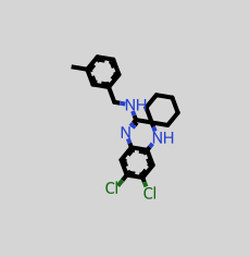 Cc1cccc(CNC2=Nc3cc(Cl)c(Cl)cc3NC23CCCCC3)c1